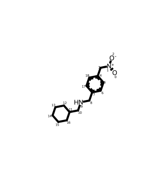 O=[N+]([O-])Cc1ccc(CNCC2CCCCC2)cc1